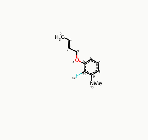 CC=CCOc1cccc(NC)c1F